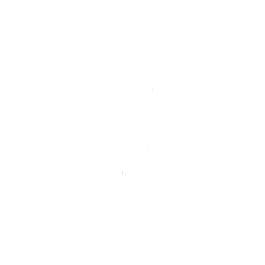 CCCC(F)C(F)CCSC(C)=O